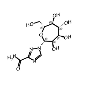 NC(=O)c1ncn([C@@H]2O[C@H](CO)[C@@H](O)[C@H](O)[C@@H](O)[C@H]2O)n1